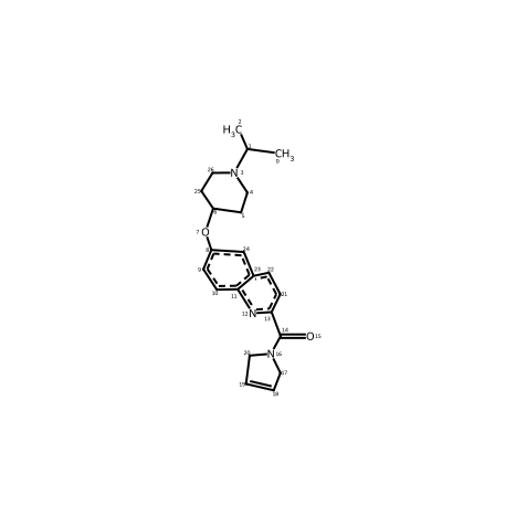 CC(C)N1CCC(Oc2ccc3nc(C(=O)N4CC=CC4)ccc3c2)CC1